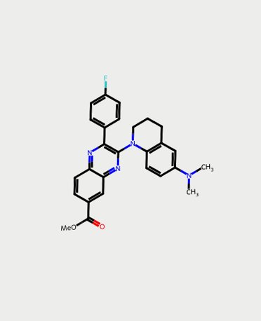 COC(=O)c1ccc2nc(-c3ccc(F)cc3)c(N3CCCc4cc(N(C)C)ccc43)nc2c1